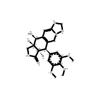 COc1cc([C@@H]2C3=C(C=C4OCON4C3)[C@H](O)[C@H]3COC(=O)[C@@H]32)cc(OC)c1OC